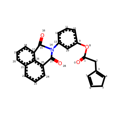 O=C(CC1=CCC=C1)Oc1cccc(N2C(=O)c3cccc4cccc(c34)C2=O)c1